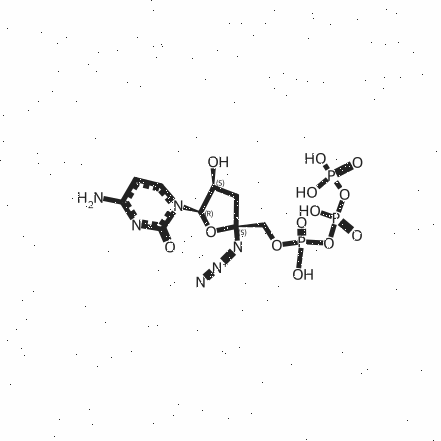 [N-]=[N+]=N[C@@]1(COP(=O)(O)OP(=O)(O)OP(=O)(O)O)C[C@H](O)[C@H](n2ccc(N)nc2=O)O1